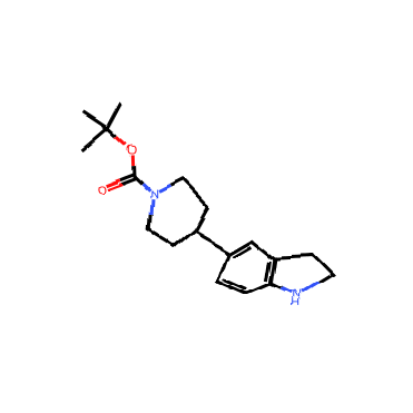 CC(C)(C)OC(=O)N1CCC(c2ccc3c(c2)CCN3)CC1